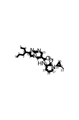 CCCC(CC)c1cn2cc(C(=O)Nc3cccn([C@@H]4C[C@H]4C)c3=O)cnc2n1